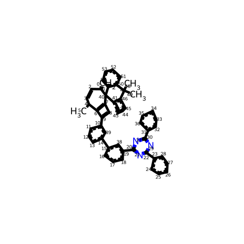 C=C1C=CC(C)C2=C(C=C2c2cccc(-c3cccc(-c4nc(-c5ccccc5)nc(-c5ccccc5)n4)c3)c2)C12c1ccccc1C(C)(C)c1ccccc12